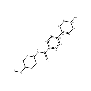 CCC1CCC(OC(=O)c2ccc(C3=CCC(C)CC3)cc2)CC1